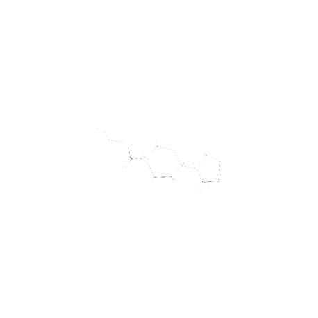 CCOC(=O)N1CCC(N2CCCC2=O)CC1